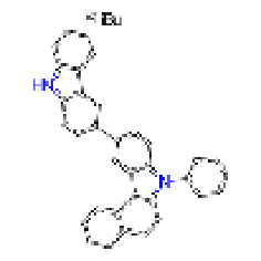 CC[C@H](C)c1ccc2[nH]c3ccc(-c4ccc5c(c4)c4c6ccccc6ccc4n5-c4ccccc4)cc3c2c1